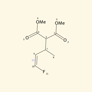 COC(=O)C(C(=O)OC)C(C)/C=C\F